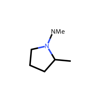 CNN1CCCC1C